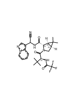 CC(C)(C)[C@H](NC(=O)C(F)(F)F)C(=O)N1C[C@H]2[C@@H]([C@H]1C(=O)NC(C#N)c1cnn3ccccc13)C2(C)C